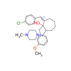 COc1cccc(CC2(O)/C(=C\c3ccc(Cl)cc3)CCCCC2CN2CCN(C)CC2)c1